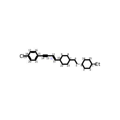 CC[C@H]1CC[C@H](CCC2CCC(/C=C/C#Cc3ccc(Cl)cc3)CC2)CC1